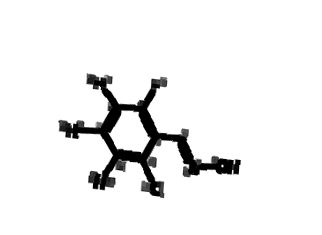 [2H]c1c([2H])c(F)c(/C=N/O)c(Cl)c1[2H]